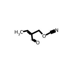 CC=C([C]=O)COC#N